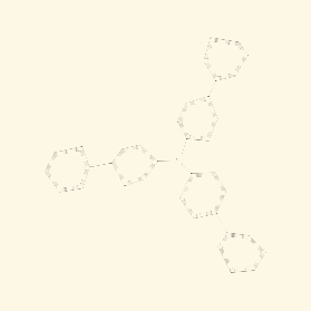 [c]1ccc(-c2ccc(N(c3ccc(-c4ccccc4)cc3)c3ccc(-c4ccccc4)cc3)cc2)cc1